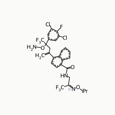 C=C(CC(ON)(c1cc(Cl)c(F)c(Cl)c1)C(F)(F)F)c1ccc(C(=O)NC/C(=N\OC(C)C)C(F)(F)F)c2ccccc12